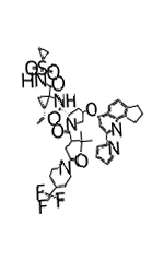 C=C[C@@H]1CC1(NC(=O)[C@@H]1C[C@@H](Oc2cc(-c3ccccn3)nc3c4c(ccc23)CCC4)CN1C(=O)C(CC(=O)N1CCC(C(F)(F)F)CC1)C(C)(C)C)C(=O)NS(=O)(=O)C1CC1